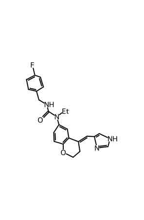 CCN(C(=O)NCc1ccc(F)cc1)c1ccc2c(c1)/C(=C/c1c[nH]cn1)CCO2